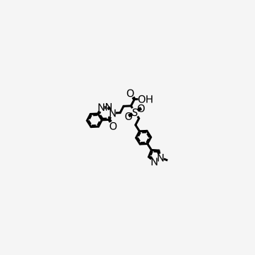 Cn1cc(-c2ccc(CCS(=O)(=O)C(CCn3nnc4ccccc4c3=O)C(=O)O)cc2)cn1